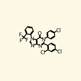 O=c1c2c(ncn2-c2ccccc2C(F)(F)F)nc(-c2ccc(Cl)cc2Cl)n1-c1ccc(Cl)cc1